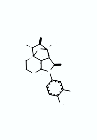 C=C1[C@H](O)[C@@]23CCO[C@H]4[C@@H]2[C@H](C(=O)N4c2ccc(C#N)c(C(F)(F)F)c2)[C@]1(C)O3